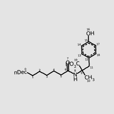 CCCCCCCCCCCCCCCC(=O)NC(C)(Cc1ccc(O)cc1)C(=O)O